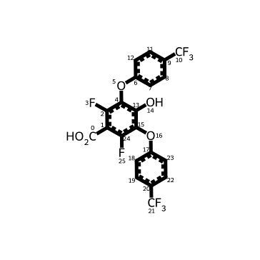 O=C(O)c1c(F)c(Oc2ccc(C(F)(F)F)cc2)c(O)c(Oc2ccc(C(F)(F)F)cc2)c1F